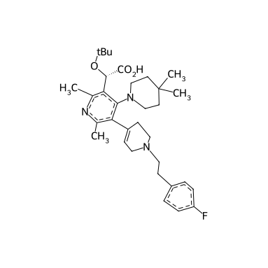 Cc1nc(C)c([C@H](OC(C)(C)C)C(=O)O)c(N2CCC(C)(C)CC2)c1C1=CCN(CCc2ccc(F)cc2)CC1